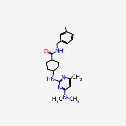 Cc1cc(N(C)C)nc(NC2CCC(C(=O)NCc3cccc(I)c3)CC2)n1